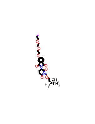 C[Si](C)(C)CCOCN1C(=O)CCC(N2C(=O)c3ccc(OCCOCCOCCI)cc3C2=O)C1=O